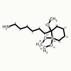 COC1(CCCCCCN)CCCC[Si]1(OC)OC